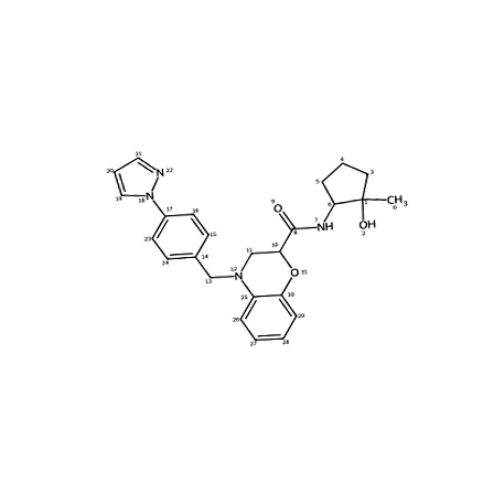 CC1(O)CCCC1NC(=O)C1CN(Cc2ccc(-n3cccn3)cc2)c2ccccc2O1